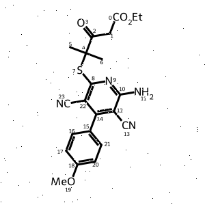 CCOC(=O)CC(=O)C(C)(C)Sc1nc(N)c(C#N)c(-c2ccc(OC)cc2)c1C#N